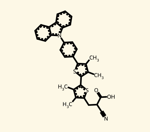 Cc1c(CC(C#N)C(=O)O)sc(-c2sc(-c3ccc(-n4c5ccccc5c5ccccc54)cc3)c(C)c2C)c1C